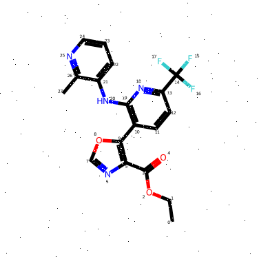 CCOC(=O)c1ncoc1-c1ccc(C(F)(F)F)nc1Nc1cccnc1C